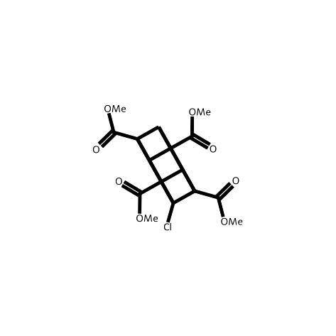 COC(=O)C12C3C4(C(=O)OC)C1C1(C(=O)OC)C2C3(C(=O)OC)C41Cl